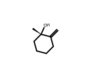 C=C1CCCC[C@]1(C)O